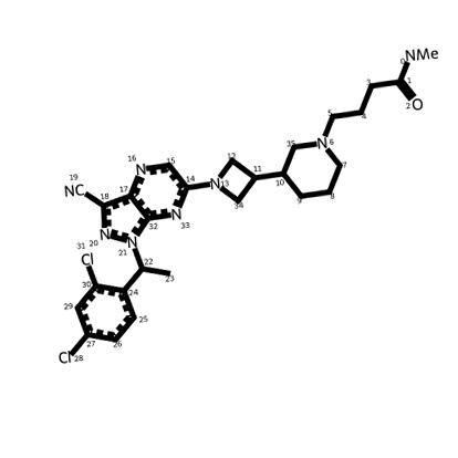 CNC(=O)CCCN1CCCC(C2CN(c3cnc4c(C#N)nn(C(C)c5ccc(Cl)cc5Cl)c4n3)C2)C1